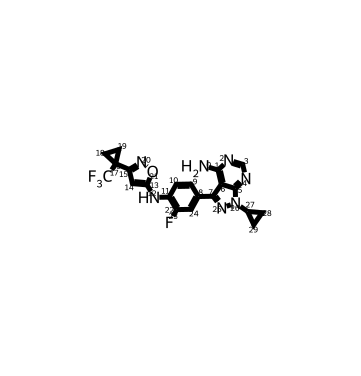 Nc1ncnc2c1c(-c1ccc(Nc3cc(C4(C(F)(F)F)CC4)no3)c(F)c1)nn2C1CC1